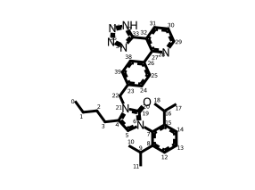 CCCCc1cn(-c2c(C(C)C)cccc2C(C)C)c(=O)n1Cc1ccc(-c2ncccc2-c2nnn[nH]2)cc1